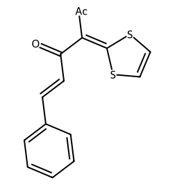 CC(=O)C(C(=O)C=Cc1ccccc1)=C1SC=CS1